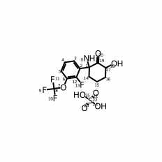 NC1(c2cccc(OC(F)(F)F)c2F)CCCC(O)C1=O.O=S(=O)(O)O